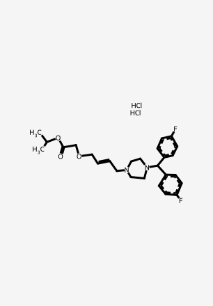 CC(C)OC(=O)COCC=CCN1CCN(C(c2ccc(F)cc2)c2ccc(F)cc2)CC1.Cl.Cl